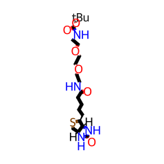 CC(C)(C)OC(=O)NCCOCCOCCNC(=O)CCCC[C@@H]1SC[C@@H]2NC(=O)N[C@@H]21